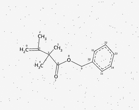 C=C(C)C(C)(C)C(=O)OCc1ccccc1